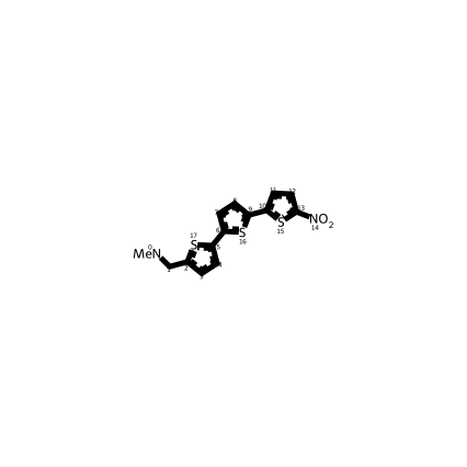 CNCc1ccc(-c2ccc(-c3ccc([N+](=O)[O-])s3)s2)s1